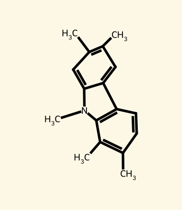 Cc1cc2c3ccc(C)c(C)c3n(C)c2cc1C